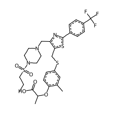 CCCS(=O)(=O)N1CCN(Cc2nc(-c3ccc(C(F)(F)F)cc3)sc2CSc2ccc(OC(C)C(=O)O)c(C)c2)CC1